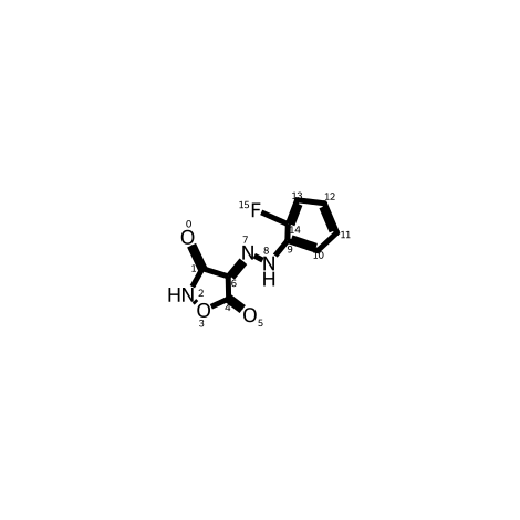 O=C1NOC(=O)/C1=N\Nc1ccccc1F